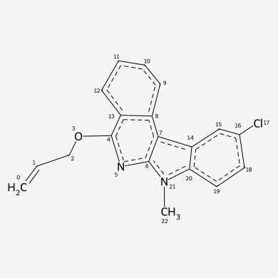 C=CCOc1nc2c(c3ccccc13)c1cc(Cl)ccc1n2C